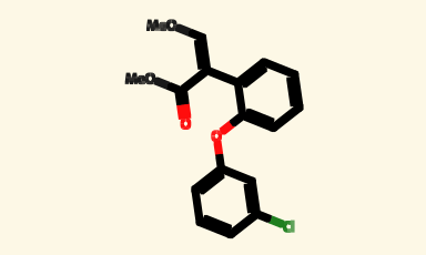 CO/C=C(\C(=O)OC)c1ccccc1Oc1cccc(Cl)c1